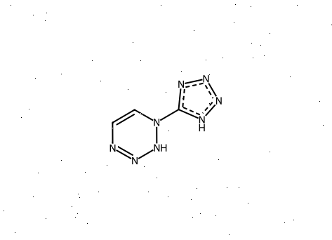 C1=CN(c2nnn[nH]2)NN=N1